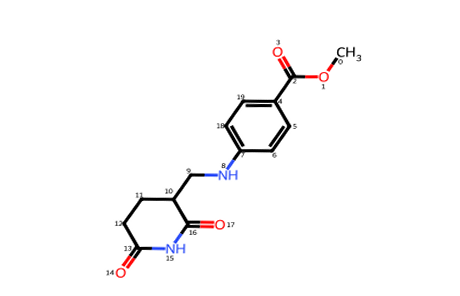 COC(=O)c1ccc(NCC2CCC(=O)NC2=O)cc1